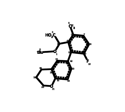 CC(C)(C)OC(C(=O)O)c1c(C(F)(F)F)ccc(F)c1-c1ccc2c(c1)CCCO2